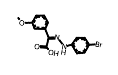 COc1cccc(/C(=N/Nc2ccc(Br)cc2)C(=O)O)c1